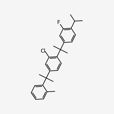 Cc1ccccc1C(C)(C)c1ccc(C(C)(C)c2ccc(C(C)C)c(F)c2)c(Cl)c1